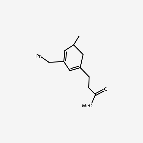 COC(=O)CCC1=CC(CC(C)C)=CC(C)C1